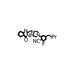 CC(C)Cc1cc(F)c(C#N)c(N2CCN(Cc3nc4ccccc4c(=O)[nH]3)CC2)c1